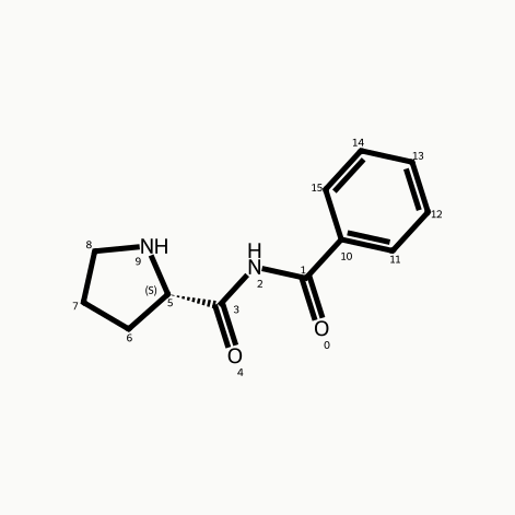 O=C(NC(=O)[C@@H]1CCCN1)c1ccccc1